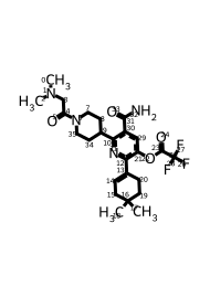 CN(C)CC(=O)N1CCC(c2nc(C3=CCC(C)(C)CC3)c(OC(=O)C(F)(F)F)cc2C(N)=O)CC1